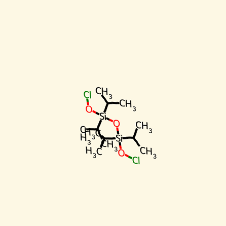 CC(C)[Si](OCl)(O[Si](OCl)(C(C)C)C(C)C)C(C)C